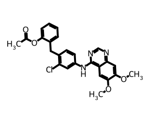 COc1cc2ncnc(Nc3ccc(Cc4ccccc4OC(C)=O)c(Cl)c3)c2cc1OC